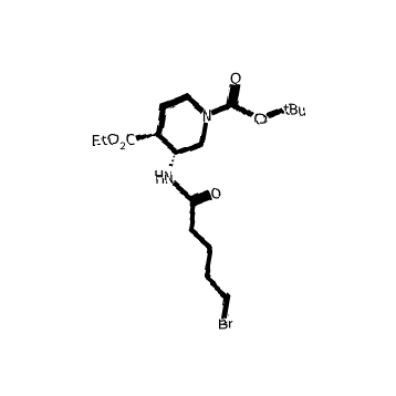 CCOC(=O)[C@H]1CCN(C(=O)OC(C)(C)C)C[C@@H]1NC(=O)CCCCBr